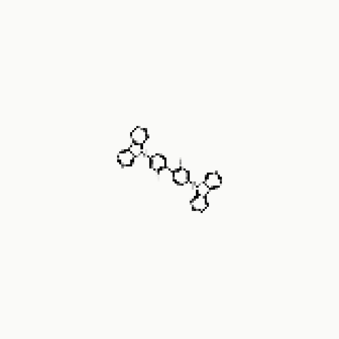 Cc1cc(-n2c3c(c4ccccc42)CCC=C3)ccc1-c1ccc(-n2c3ccccc3c3ccccc32)cc1C